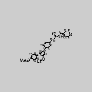 CCOc1cc(-c2ccc(SCC(=O)NCC3=CCOCC3)cc2)nn1-c1ccc(OC)cc1